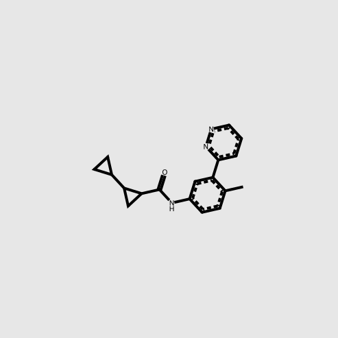 Cc1ccc(NC(=O)C2CC2C2CC2)cc1-c1cccnn1